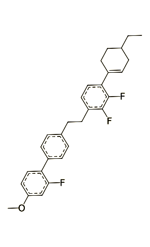 CCC1CC=C(c2ccc(CCc3ccc(-c4ccc(OC)cc4F)cc3)c(F)c2F)CC1